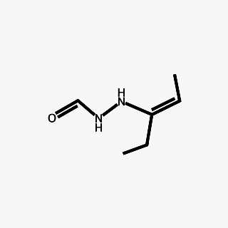 C/C=C(/CC)NNC=O